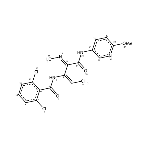 C/C=C(NC(=O)c1c(Cl)cccc1Cl)\C(=N/C)C(=O)Nc1ccc(OC)nc1